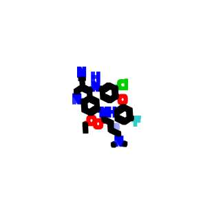 CCOc1cc2ncc(C#N)c(Nc3ccc(Oc4cccc(F)c4)c(Cl)c3)c2cc1NC(=O)/C=C/CN(C)C